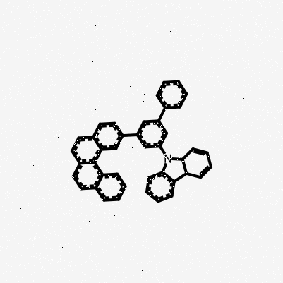 C1=CC2c3ccccc3N(c3cc(-c4ccccc4)cc(-c4ccc5ccc6ccc7ccccc7c6c5c4)c3)C2C=C1